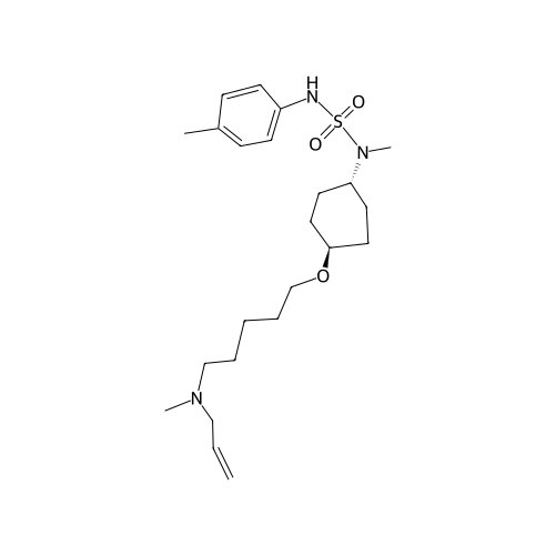 C=CCN(C)CCCCCO[C@H]1CC[C@H](N(C)S(=O)(=O)Nc2ccc(C)cc2)CC1